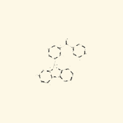 O=C(c1ccccc1)c1cccc(-n2c3ccccc3c3ccccc32)c1